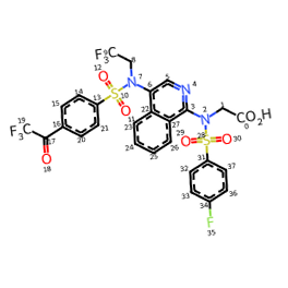 O=C(O)CN(c1ncc(N(CC(F)(F)F)S(=O)(=O)c2ccc(C(=O)C(F)(F)F)cc2)c2ccccc12)S(=O)(=O)c1ccc(F)cc1